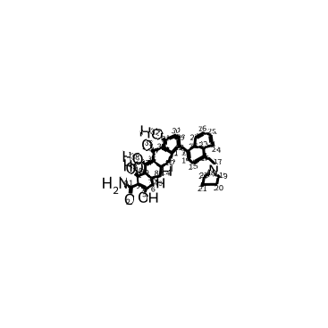 NC(=O)C1=C(O)C[C@@H]2C[C@@H]3Cc4c(C5=CC=C(CN6CCCC6)C6C=CC=CC56)ccc(O)c4C(=O)C3=C(O)[C@]2(O)C1=O